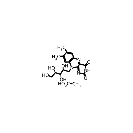 CC(=O)O.Cc1cc2nc3c(=O)[nH]c(=O)nc-3n(C[C@H](O)[C@H](O)[C@H](O)CO)c2cc1C